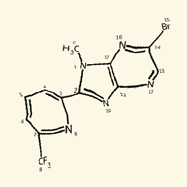 Cn1c(-c2cccc(C(F)(F)F)n2)nc2ncc(Br)nc21